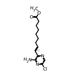 COC(=O)CCCCCC/C=C/c1ncc(Cl)nc1N